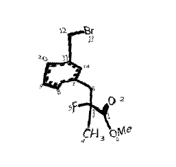 COC(=O)C(C)(F)Cc1cccc(CBr)c1